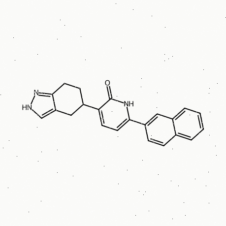 O=c1[nH]c(-c2ccc3ccccc3c2)ccc1C1CCc2n[nH]cc2C1